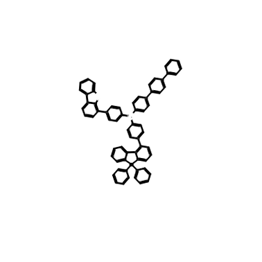 c1ccc(-c2ccc(-c3ccc(N(c4ccc(-c5cccc6c5-c5ccccc5C6(c5ccccc5)c5ccccc5)cc4)c4ccc(-c5cccc6c5oc5ccccc56)cc4)cc3)cc2)cc1